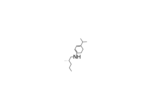 CCC[C@H](C)CNC1=CC=C(C(C)C)CC1